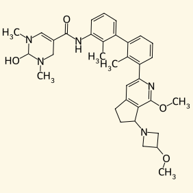 COc1nc(-c2cccc(-c3cccc(NC(=O)C4=CN(C)C(O)N(C)C4)c3C)c2C)cc2c1C(N1CC(OC)C1)CC2